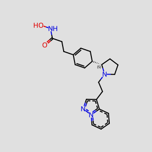 O=C(CCC1=CCC([C@@H]2CCCN2CCc2cnn3ccccc23)C=C1)NO